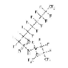 O=S(=O)(N[Si](F)(OC(F)(F)F)C(F)(F)C(F)(F)C(F)(F)F)C(F)(F)C(F)(F)C(F)(F)C(F)(F)C(F)(F)C(F)(F)C(F)(F)C(F)(F)F